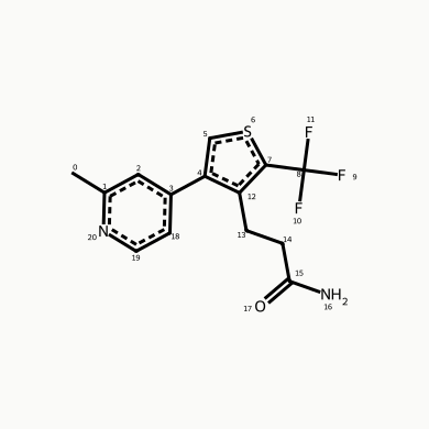 Cc1cc(-c2csc(C(F)(F)F)c2CCC(N)=O)ccn1